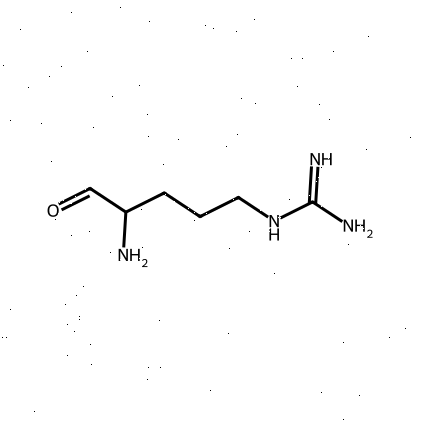 N=C(N)NCCCC(N)C=O